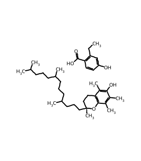 CCc1cc(O)ccc1C(=O)O.Cc1c(C)c2c(c(C)c1O)CC[C@@](C)(CCCC(C)CCCC(C)CCCC(C)C)O2